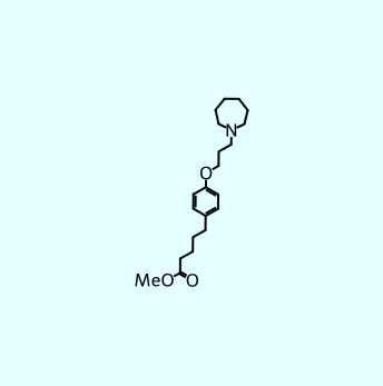 COC(=O)CCCCc1ccc(OCCCN2CCCCCC2)cc1